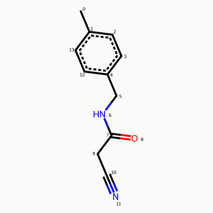 Cc1ccc(CNC(=O)CC#N)cc1